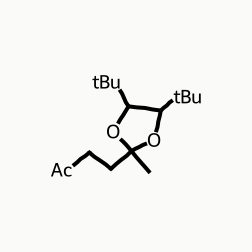 CC(=O)CCC1(C)OC(C(C)(C)C)C(C(C)(C)C)O1